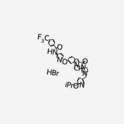 Br.CC(C)Oc1ccc(CN2CCN(C(=O)c3cc4ccc(Oc5ccc(NC(=O)c6ccc(C(F)(F)F)cc6)cn5)cc4n3C)CC2)cn1